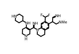 CNCC(C=N)c1cc2c(cc1C(F)F)N(C(=N)C1=C(NC3CCNCC3)CCNC1)CCC2